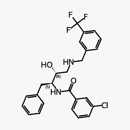 O=C(N[C@@H](Cc1ccccc1)[C@H](O)CNCc1cccc(C(F)(F)F)c1)c1cccc(Cl)c1